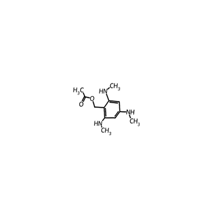 CNc1cc(NC)c(COC(C)=O)c(NC)c1